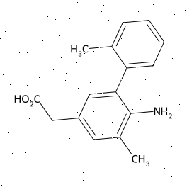 Cc1ccccc1-c1cc(CC(=O)O)cc(C)c1N